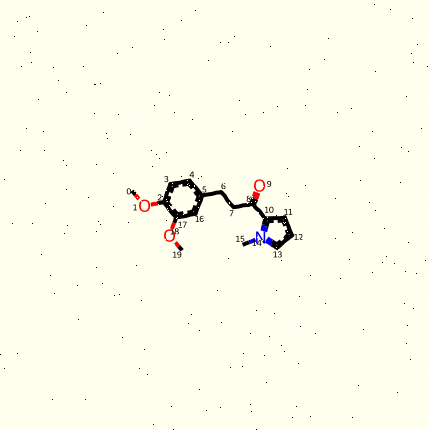 COc1ccc(CCC(=O)c2cccn2C)cc1OC